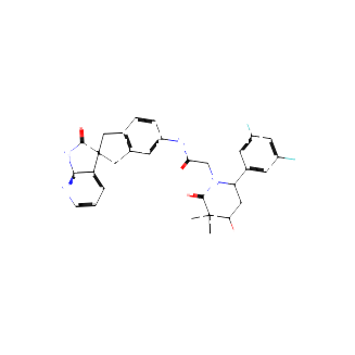 CC1(C)C(=O)N(CC(=O)Nc2ccc3c(c2)CC2(C3)C(=O)Nc3ncccc32)C(c2cc(F)cc(F)c2)CC1O